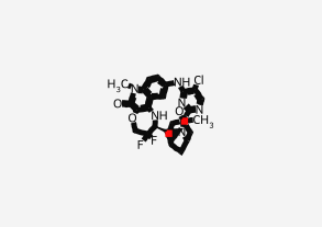 CC(=O)N1C2CCC1CN(c1ncc(Cl)c(Nc3ccc4c(c3)c3c(c(=O)n4C)OCC(F)(F)[C@H](C4CC4)N3)n1)C2